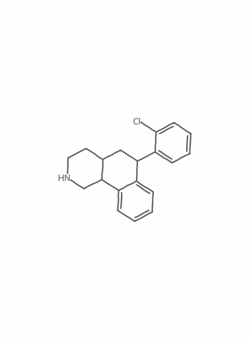 Clc1ccccc1C1CC2CCNCC2c2ccccc21